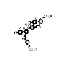 O=C(O)CCN1CCN(C(=O)/C=C/c2ccc(Sc3ccc(/C=C/C(=O)N4CCN(CCC(=O)O)CC4)c(-c4ccc(Cl)cc4Cl)c3[N+](=O)[O-])c([N+](=O)[O-])c2-c2ccc(Cl)cc2Cl)CC1